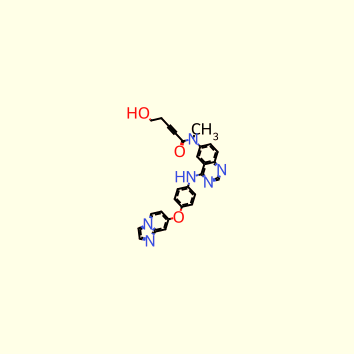 CN(C(=O)C#CCCO)c1ccc2ncnc(Nc3ccc(Oc4ccn5ccnc5c4)cc3)c2c1